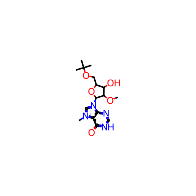 COC1C(O)C(COC(C)(C)C)OC1n1c[n+](C)c2c(=O)[nH]cnc21